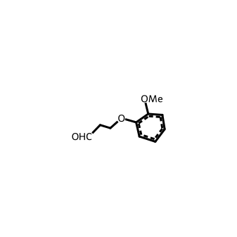 COc1ccccc1OCCC=O